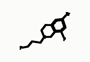 FCCCN1CCc2cc(Br)cc(F)c2C1